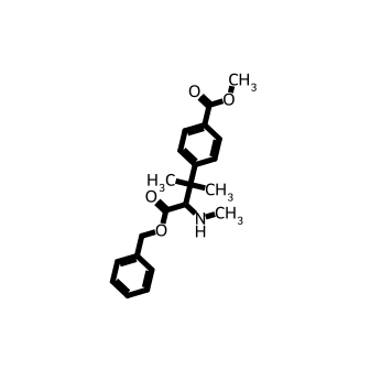 CNC(C(=O)OCc1ccccc1)C(C)(C)c1ccc(C(=O)OC)cc1